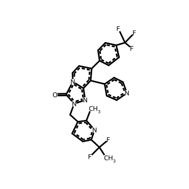 Cc1nc(C(C)(F)F)ccc1Cn1nc2c(-c3ccncc3)c(-c3ccc(C(F)(F)F)cc3)ccn2c1=O